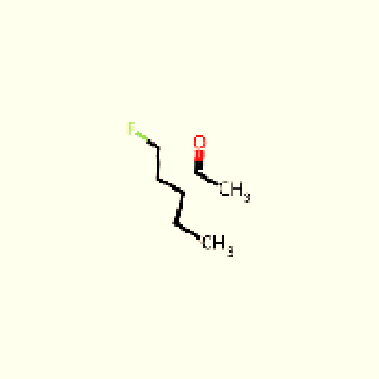 CC=O.CCCCCF